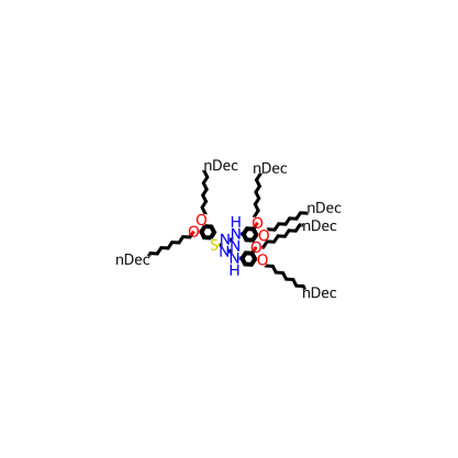 CCCCCCCCCCCCCCCCCCOc1ccc(Nc2nc(Nc3ccc(OCCCCCCCCCCCCCCCCCC)c(OCCCCCCCCCCCCCCCCCC)c3)nc(Sc3ccc(OCCCCCCCCCCCCCCCCCC)c(OCCCCCCCCCCCCCCCCCC)c3)n2)cc1OCCCCCCCCCCCCCCCCCC